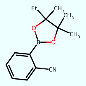 CCC1(C)OB(c2ccccc2C#N)OC1(C)C